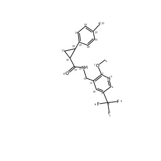 COc1ncc(C(F)(F)F)cc1CNC(=O)C1CC1c1ccc(F)cc1